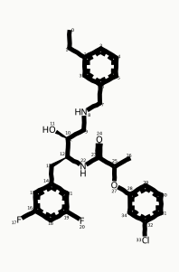 CCc1cccc(CNC[C@H](O)[C@H](Cc2cc(F)cc(F)c2)NC(=O)C(C)Oc2cccc(Cl)c2)c1